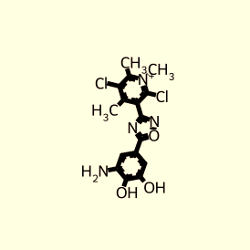 Cc1c(Cl)c(C)[n+](C)c(Cl)c1-c1noc(-c2cc(N)c(O)c(O)c2)n1